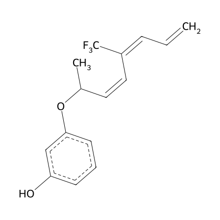 C=C/C=C(\C=C/C(C)Oc1cccc(O)c1)C(F)(F)F